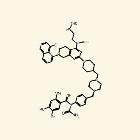 CCCCN(CCNC=O)c1nc(N2CCC(CN3CCN(Cc4ccc(N(C(=N)c5cc(C(C)C)c(O)cc5O)C(N)=O)cc4)CC3)CC2)nc2c1CCN(c1cccc3cccc(Cl)c13)C2